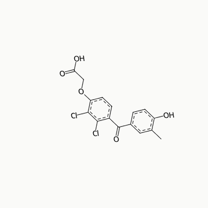 Cc1cc(C(=O)c2ccc(OCC(=O)O)c(Cl)c2Cl)ccc1O